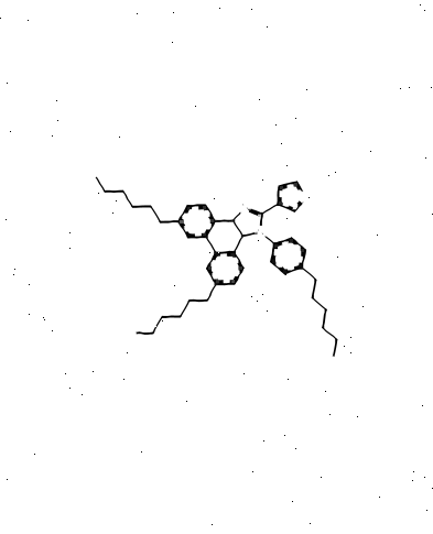 CCCCCCc1ccc(N2C(c3ccsc3)=NC3c4ccc(CCCCCC)cc4-c4cc(CCCCCC)ccc4C32)cc1